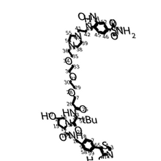 Cc1ncsc1-c1ccc(CNC(=O)[C@@H]2C[C@@H](O)CN2C(=O)[C@@H](NC(=O)CCOCCOCCOCCN2CCN(CCNc3ccc(S(N)(=O)=O)cc3[N+](=O)[O-])CC2)C(C)(C)C)cc1